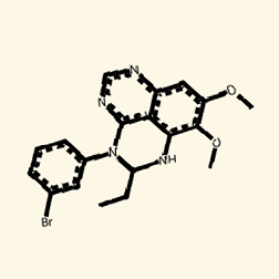 CCC1Nc2c(OC)c(OC)cc3ncnc(c23)N1c1cccc(Br)c1